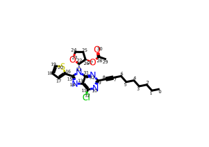 CCCCCCCC#Cc1nc(Cl)c2nc(-c3cccs3)n([C@@H]3OCC[C@H]3OC(C)=O)c2n1